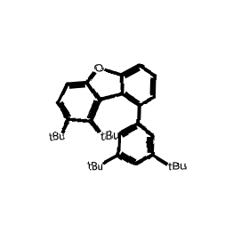 CC(C)(C)c1cc(-c2cccc3oc4ccc(C(C)(C)C)c(C(C)(C)C)c4c23)cc(C(C)(C)C)c1